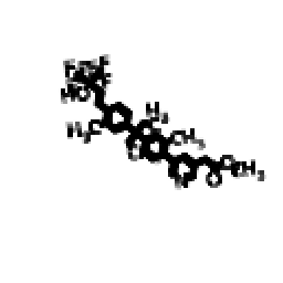 CCC(CC)(c1ccc(C=CC(O)(C(F)(F)F)C(F)(F)F)c(C)c1)c1ccc(-c2cncc(CC(=O)OC)c2)c(C)c1